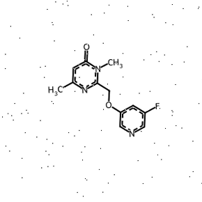 Cc1cc(=O)n(C)c(COc2cncc(F)c2)n1